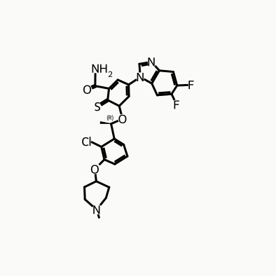 C[C@@H](OC1C=C(n2cnc3cc(F)c(F)cc32)C=C(C(N)=O)C1=S)c1cccc(OC2CCN(C)CC2)c1Cl